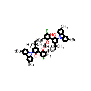 Cc1ccc2c(c1)c1cc(C(C)(C)C)ccc1n2-c1cc(C(C)(C)CC(C)(C)C)cc(-c2cc(F)cc(C)c2OCCOc2c(C)cc(F)cc2-c2cc(C(C)(C)CC(C)(C)C)cc(-n3c4ccc(C(C)(C)C)cc4c4cc(C(C)(C)C)ccc43)c2O)c1O